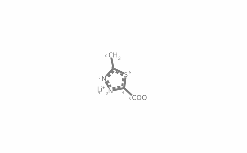 Cc1nnc(C(=O)[O-])s1.[Li+]